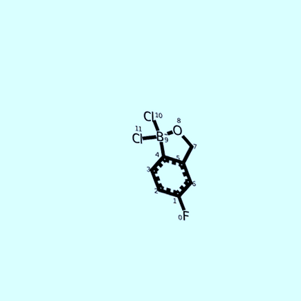 Fc1ccc2c(c1)CO[B-]2(Cl)Cl